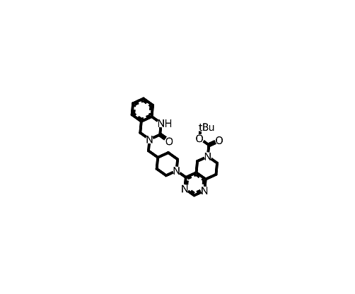 CC(C)(C)OC(=O)N1CCc2ncnc(N3CCC(CN4Cc5ccccc5NC4=O)CC3)c2C1